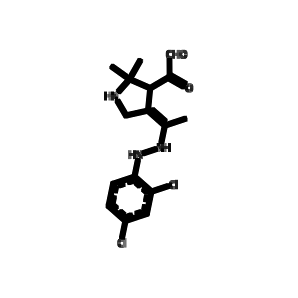 CC(NNc1ccc(Cl)cc1Cl)=C1CNC(C)(C)C1C(=O)C=O